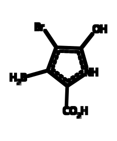 Bc1c(C(=O)O)[nH]c(O)c1Br